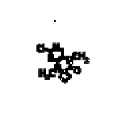 CN1C(=O)C2(CCC2)N(C)c2nc(Cl)ncc21